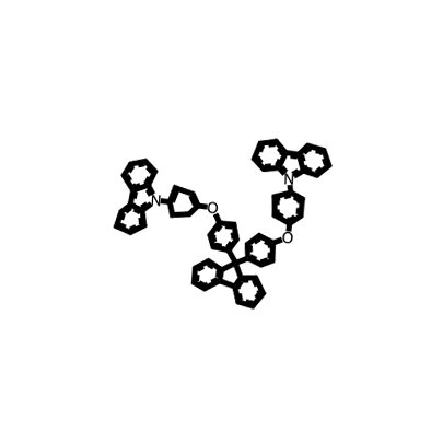 C1=C(Oc2ccc(C3(c4ccc(Oc5ccc(-n6c7ccccc7c7ccccc76)cc5)cc4)c4ccccc4-c4ccccc43)cc2)CCC(n2c3ccccc3c3ccccc32)=C1